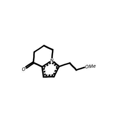 COCCc1ccc2n1CCCC2=O